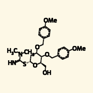 COc1ccc(COC2C[C@@H](SC(=N)N(C)C)O[C@H](CO)C2OCc2ccc(OC)cc2)cc1